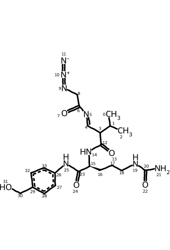 CC(C)C(/C=N/C(=O)CN=[N+]=[N-])C(=O)N[C@@H](CCCNC(N)=O)C(=O)Nc1ccc(CO)cc1